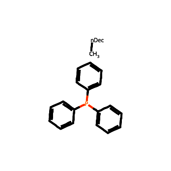 CCCCCCCCCCC.c1ccc(P(c2ccccc2)c2ccccc2)cc1